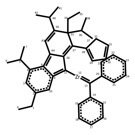 CCc1cc(C(C)C)c2c(c1)=[C]([Zr]=[C](c1ccccc1)c1ccccc1)C1=C(C3=CC=CC3)C(CC)(C(C)C)C(C(C)C)=CC=21